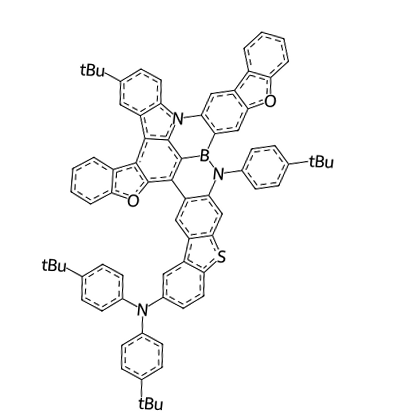 CC(C)(C)c1ccc(N2B3c4cc5oc6ccccc6c5cc4-n4c5ccc(C(C)(C)C)cc5c5c6c(oc7ccccc76)c(c3c54)-c3cc4c(cc32)sc2ccc(N(c3ccc(C(C)(C)C)cc3)c3ccc(C(C)(C)C)cc3)cc24)cc1